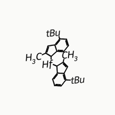 CC1=Cc2c(cccc2C(C)(C)C)[CH]1[Hf][CH]1C(C)=Cc2c1cccc2C(C)(C)C